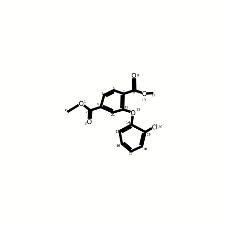 COC(=O)c1ccc(C(=O)OC)c(Oc2ccccc2Cl)c1